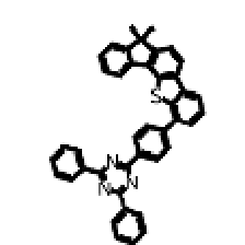 CC1(C)c2ccccc2-c2c1ccc1c2sc2c(-c3ccc(-c4nc(-c5ccccc5)nc(-c5ccccc5)n4)cc3)cccc21